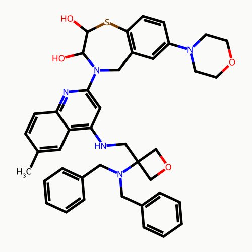 Cc1ccc2nc(N3Cc4cc(N5CCOCC5)ccc4SC(O)C3O)cc(NCC3(N(Cc4ccccc4)Cc4ccccc4)COC3)c2c1